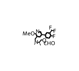 COc1ncc(-c2ccc(F)c(C(F)F)c2)cc1CN(C)[C@H](C)COC=O